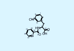 O=C(NC(Cc1cccc(Cl)c1)C(=O)O)c1ccccn1